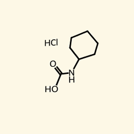 Cl.O=C(O)NC1CCCCC1